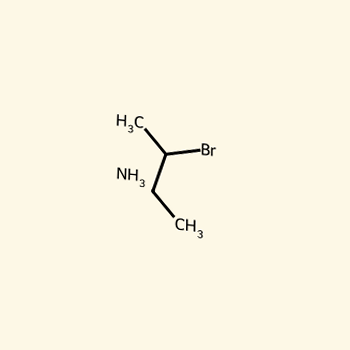 CCC(C)Br.N